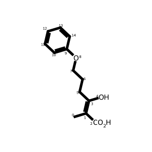 CC(C(=O)O)=C(O)CCCOc1ccccc1